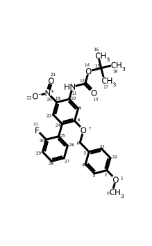 COc1ccc(COc2cc(NC(=O)OC(C)(C)C)c([N+](=O)[O-])cc2-c2ccccc2F)cc1